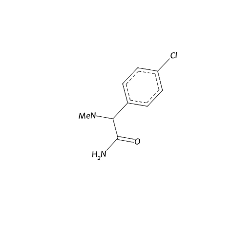 CNC(C(N)=O)c1ccc(Cl)cc1